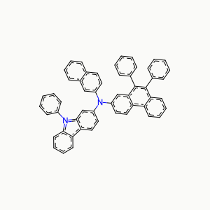 c1ccc(-c2c(-c3ccccc3)c3cc(N(c4ccc5ccccc5c4)c4ccc5c6ccccc6n(-c6ccccc6)c5c4)ccc3c3ccccc23)cc1